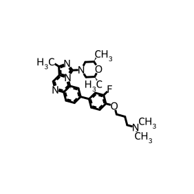 Cc1nc(N2C[C@@H](C)O[C@@H](C)C2)n2c1cnc1ccc(-c3ccc(OCCCN(C)C)c(F)c3)cc12